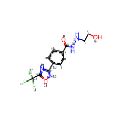 O=C(NNCCO)c1ccc(-c2noc(C(F)(F)F)n2)cc1